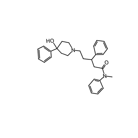 CN(C(=O)CC(CCN1CCC(O)(c2ccccc2)CC1)c1ccccc1)c1ccccc1